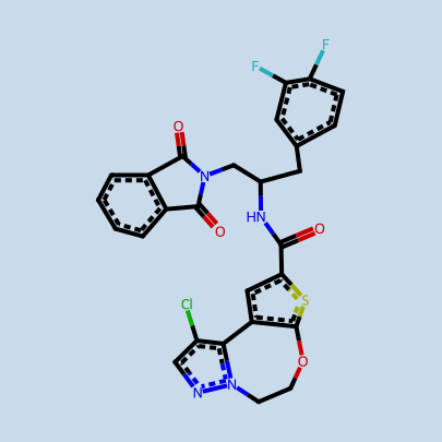 O=C(NC(Cc1ccc(F)c(F)c1)CN1C(=O)c2ccccc2C1=O)c1cc2c(s1)OCCn1ncc(Cl)c1-2